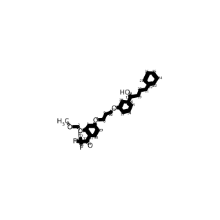 COCOc1cc(OCCCOc2cccc(C(O)CCCc3ccccc3)c2)ccc1C(=O)C(F)(F)F